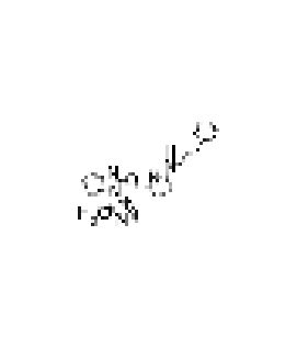 Cn1nnnc1-n1c(OCc2cccc(NCCCc3ccccc3)n2)nc2ccccc21